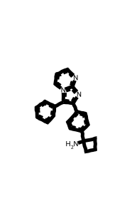 NC1(c2ccc(-c3nc4ncccn4c3-c3ccccc3)cc2)CCC1